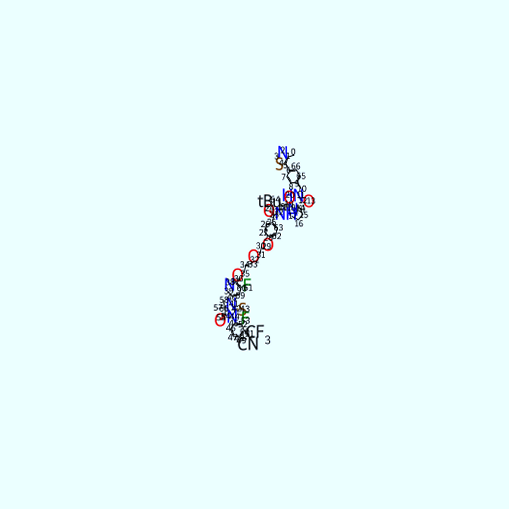 Cc1ncsc1-c1ccc(CNC(=O)[C@@H]2CCCN2C(=O)[C@@H](NC(=O)c2ccc(OCCOCCCOc3ncc(N4C(=S)N(c5ccc(C#N)c(C(F)(F)F)c5F)C(=O)C4(C)C)cc3F)cc2)C(C)(C)C)cc1